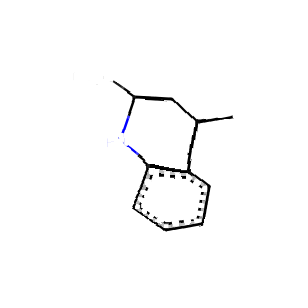 CC1CC(C(=O)O)Nc2ccccc21